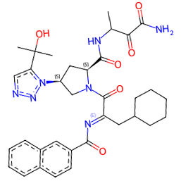 CC(NC(=O)[C@@H]1C[C@H](n2nncc2C(C)(C)O)CN1C(=O)/C(CC1CCCCC1)=N/C(=O)c1ccc2ccccc2c1)C(=O)C(N)=O